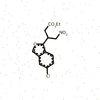 CCOC(=O)CC(C[N+](=O)[O-])c1occ2cc(Cl)ccc12